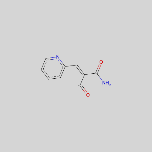 NC(=O)/C([C]=O)=C/c1ccccn1